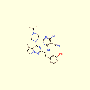 Cc1ccn2nc(C(Cc3cccc(O)c3)Nc3ncnc(N)c3C#N)nc(N3CCN(C(C)C)CC3)c12